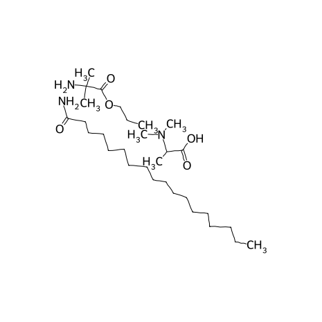 CC(C(=O)O)N(C)C.CCCCCCCCCCCCCCCCCC(N)=O.CCCOC(=O)C(C)(C)N